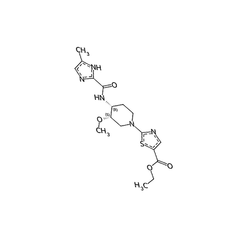 CCOC(=O)c1cnc(N2CC[C@@H](NC(=O)c3ncc(C)[nH]3)[C@@H](OC)C2)s1